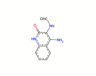 Nc1c(NC=O)c(=O)[nH]c2ccccc12